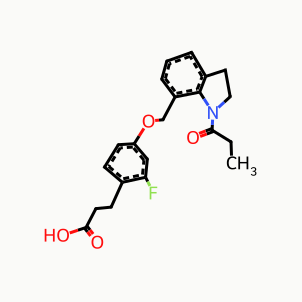 CCC(=O)N1CCc2cccc(COc3ccc(CCC(=O)O)c(F)c3)c21